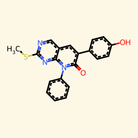 CSc1ncc2cc(-c3ccc(O)cc3)c(=O)n(-c3ccccc3)c2n1